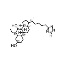 CC[C@@H]1C2C[C@H](O)CCC2(C)[C@H]2CCC3(C)C([C@H](C)CCCCc4nn[nH]n4)CC[C@H]3[C@@H]2[C@@H]1O